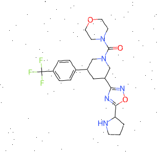 O=C(N1CCOCC1)N1CC(c2ccc(C(F)(F)F)cc2)CC(c2noc(C3CCCN3)n2)C1